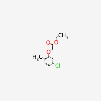 CCOC(=O)COc1cc(Cl)ccc1C